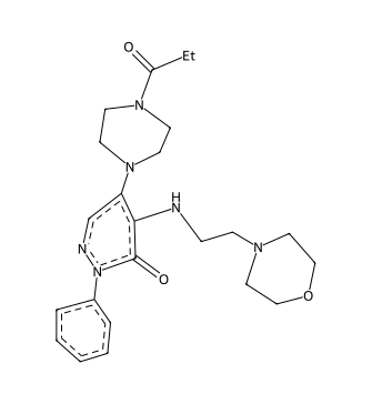 CCC(=O)N1CCN(c2cnn(-c3ccccc3)c(=O)c2NCCN2CCOCC2)CC1